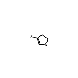 FC1=CSCC1